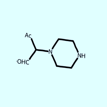 CC(=O)C([C]=O)N1CCNCC1